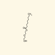 CCCCCCCCC(=O)OCCOCCO